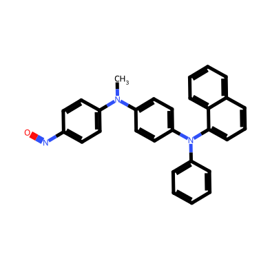 CN(c1ccc(N=O)cc1)c1ccc(N(c2ccccc2)c2cccc3ccccc23)cc1